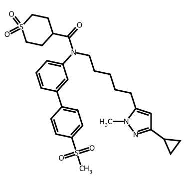 Cn1nc(C2CC2)cc1CCCCCN(C(=O)C1CCS(=O)(=O)CC1)c1cccc(-c2ccc(S(C)(=O)=O)cc2)c1